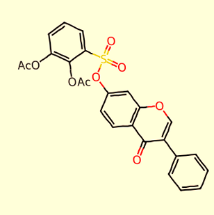 CC(=O)Oc1cccc(S(=O)(=O)Oc2ccc3c(=O)c(-c4ccccc4)coc3c2)c1OC(C)=O